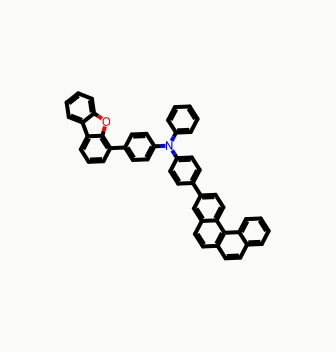 c1ccc(N(c2ccc(-c3ccc4c(ccc5ccc6ccccc6c54)c3)cc2)c2ccc(-c3cccc4c3oc3ccccc34)cc2)cc1